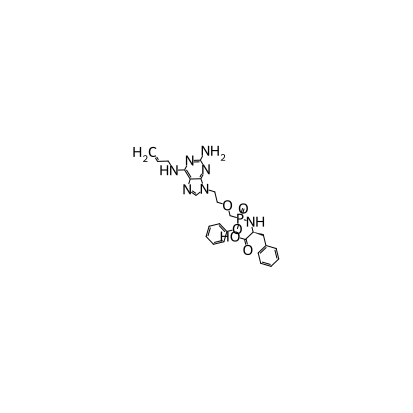 C=CCNc1nc(N)nc2c1ncn2CCOCP(=O)(N[C@@H](Cc1ccccc1)C(=O)O)Oc1ccccc1